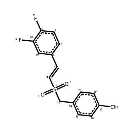 O=S(=O)(/C=C/c1ccc(F)c(F)c1)Cc1ccc(Cl)cc1